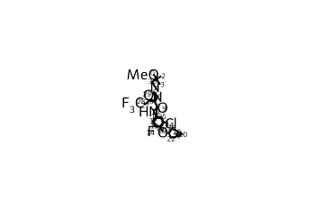 COC1(C)CN(c2nc(C(=O)Nc3cc(F)c(OC4CC5CC5C4)c(Cl)c3)c(CC(F)(F)F)o2)C1